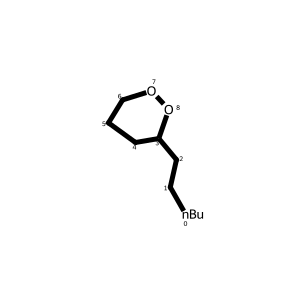 CCCCCCC1CCCOO1